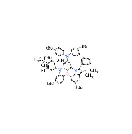 CCCCC(C)(C)c1cc(C)c(N2c3cc(C(C)(C)C)ccc3B3c4c2cc(N(c2ccc(C(C)(C)C)cc2)c2ccc(C(C)(C)C)cc2)cc4-n2c4c(c5cc(C(C)(C)C)cc3c52)C(C)(C)c2ccccc2-4)cc1CC